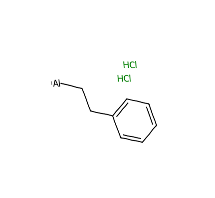 Cl.Cl.[Al][CH2]Cc1ccccc1